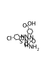 CN1c2ccc(C(=O)O)cc2NC1(Nc1nc2ccc(Cl)cc2s1)C(=O)C(N)=O